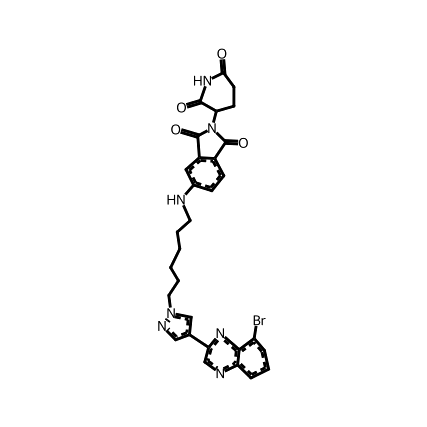 O=C1CCC(N2C(=O)c3ccc(NCCCCCCn4cc(-c5cnc6cccc(Br)c6n5)cn4)cc3C2=O)C(=O)N1